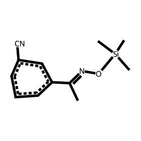 CC(=NO[Si](C)(C)C)c1cccc(C#N)c1